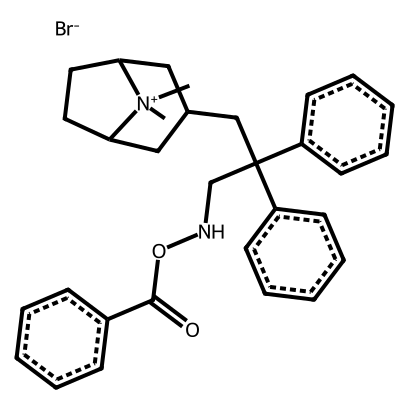 C[N+]1(C)C2CCC1CC(CC(CNOC(=O)c1ccccc1)(c1ccccc1)c1ccccc1)C2.[Br-]